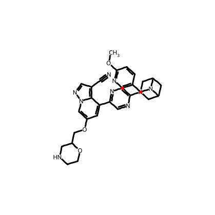 COc1ccc(CN2C3CC2CN(c2cnc(-c4cc(OCC5CNCCO5)cn5ncc(C#N)c45)cn2)C3)cn1